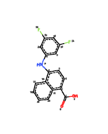 O=C(O)c1ccc(Nc2cc(F)cc(F)c2)c2ccccc12